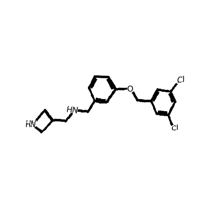 Clc1cc(Cl)cc(COc2cccc(CNCC3CNC3)c2)c1